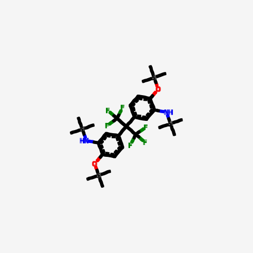 C[Si](C)(C)Nc1cc(C(c2ccc(O[Si](C)(C)C)c(N[Si](C)(C)C)c2)(C(F)(F)F)C(F)(F)F)ccc1O[Si](C)(C)C